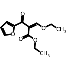 CCO/C=C(\C(=O)OCC)C(=O)c1ccco1